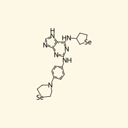 c1nc2nc(Nc3ccc(N4CC[Se]CC4)cc3)nc(NC3CC[Se]C3)c2[nH]1